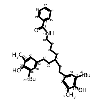 Cc1cc(CCC(CCCCNC(=O)c2ccccc2)CCc2cc(C)c(O)c(C(C)(C)C)c2)cc(C(C)(C)C)c1O